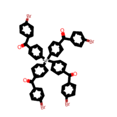 O=C(c1ccc(Br)cc1)c1cc[c]([Sn]([c]2ccc(C(=O)c3ccc(Br)cc3)cc2)([c]2ccc(C(=O)c3ccc(Br)cc3)cc2)[c]2ccc(C(=O)c3ccc(Br)cc3)cc2)cc1